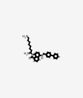 NCCCCCCCC(N)N1C(=O)c2cccc3c(NCc4ccc(-c5ccccc5)cc4)ccc1c23